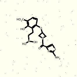 Nc1nc(C(=O)N2CC(Oc3ccc(C(=O)O)c(O)c3CCB(O)O)C2)cs1